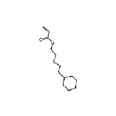 C=CC(=O)OCCSCCC1CCCCC1